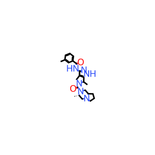 Cc1cccc(C(=O)Nc2n[nH]c3c2CN(C(=O)N2CC4CCCN4C[C@@H]2C)C3C)c1